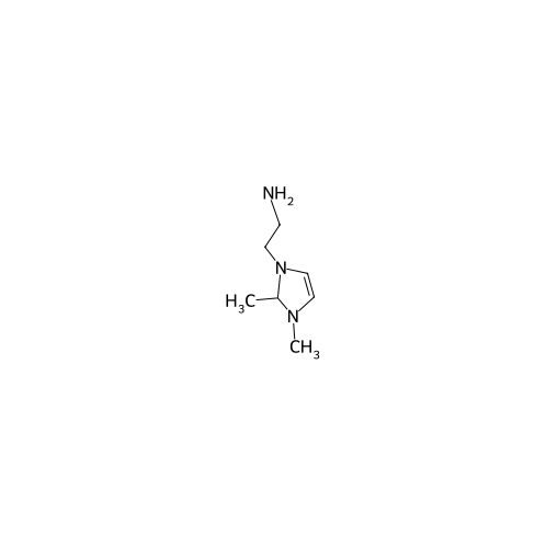 CC1N(C)C=CN1CCN